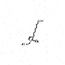 CCCCCCCCCCCCCCCCCn1cc[n+](CCCCCCCCCCC)c1CCCC